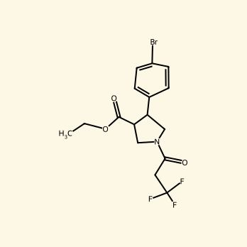 CCOC(=O)C1CN(C(=O)CC(F)(F)F)CC1c1ccc(Br)cc1